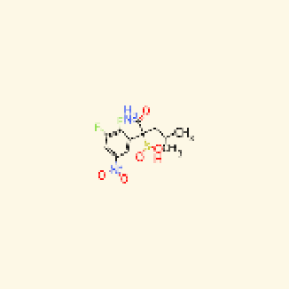 CC(C)CC(C(N)=O)(c1cc([N+](=O)[O-])cc(F)c1F)S(=O)O